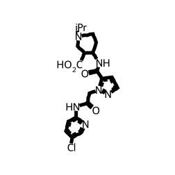 CC(C)N1CCC(NC(=O)c2ccnn2CC(=O)Nc2ccc(Cl)cn2)C(C(=O)O)C1